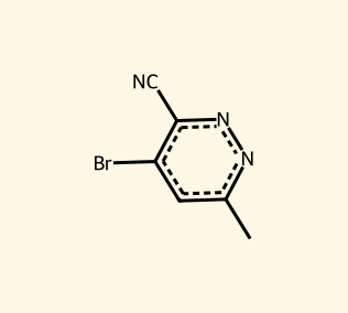 Cc1cc(Br)c(C#N)nn1